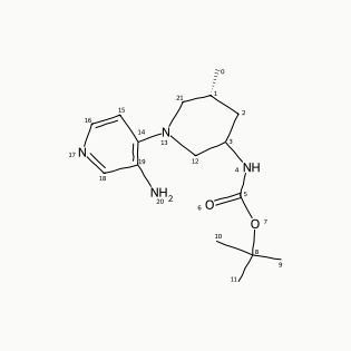 C[C@@H]1CC(NC(=O)OC(C)(C)C)CN(c2ccncc2N)C1